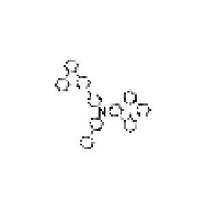 c1ccc(-c2ccc(N(c3ccc(-c4ccc5c6ccccc6c6ccccc6c5c4)cc3)c3ccc4c(c3)-c3ccccc3C4(c3ccccc3)c3ccccc3)cc2)cc1